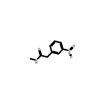 CNC(=O)Cc1cccc([SH](=O)=O)c1